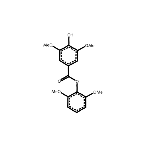 COc1cc(C(=O)Oc2c(OC)cccc2OC)cc(OC)c1O